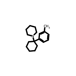 Cc1cccc(C2(N3CCCCC3)CCCCC2)c1